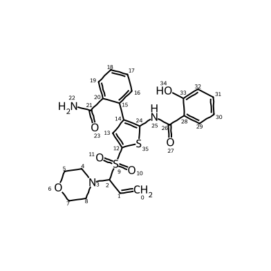 C=CC(N1CCOCC1)S(=O)(=O)c1cc(-c2ccccc2C(N)=O)c(NC(=O)c2ccccc2O)s1